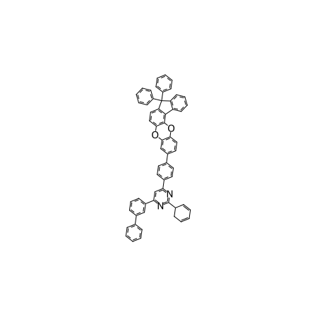 C1=CCC(c2nc(-c3ccc(-c4ccc5c(c4)Oc4ccc6c(c4O5)-c4ccccc4C6(c4ccccc4)c4ccccc4)cc3)cc(-c3cccc(-c4ccccc4)c3)n2)C=C1